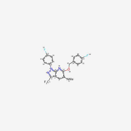 CNc1cc2c(C(F)(F)F)nn(-c3ccc(F)cc3)c2nc1OCc1ccc(F)cc1